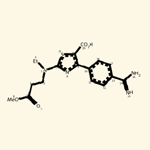 CCN(CCC(=O)OC)c1nc(-c2ccc(C(=N)N)cc2)c(C(=O)O)s1